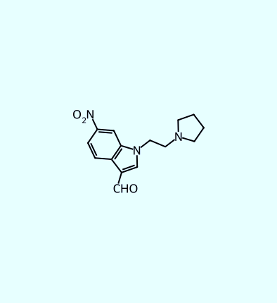 O=Cc1cn(CCN2CCCC2)c2cc([N+](=O)[O-])ccc12